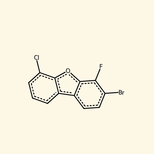 Fc1c(Br)ccc2c1oc1c(Cl)cccc12